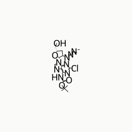 CC(C)(C)OC(=O)Nc1nc(Cl)nc2c1ncn2[C@@H]1O[C@H](CO)CC1N=[N+]=[N-]